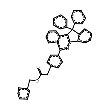 O=C(Cc1ccc(-c2nc3c(c4ccccc24)C(c2ccccc2)(c2ccccc2)c2ccccc2-3)cc1)OCc1ccccc1